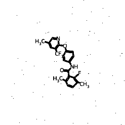 Cc1cnc(Oc2ccc(NC(=O)c3c(C)ccc(C)c3F)cc2)c(C(F)(F)F)c1